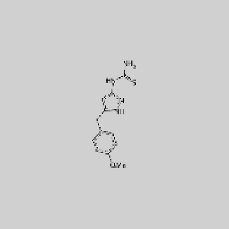 COc1ccc(Cc2cc(NC(N)=S)n[nH]2)cc1